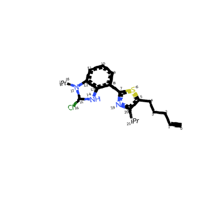 C=CCCCc1sc(-c2cccc3c2NC(Cl)N3C(C)C)nc1C(C)C